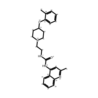 Cc1cc(NC(=O)NCCN2CCC(Oc3ccccc3C)CC2)c2ccccc2n1